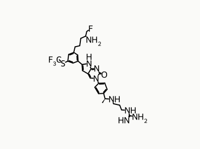 C[C@H](NCCCNC(=N)N)c1ccc(-n2cc3cc(-c4cc(CCC[C@@H](N)CF)cc(SC(F)(F)F)c4)[nH]c3nc2=O)cc1